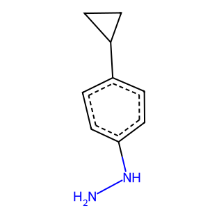 NNc1ccc(C2CC2)cc1